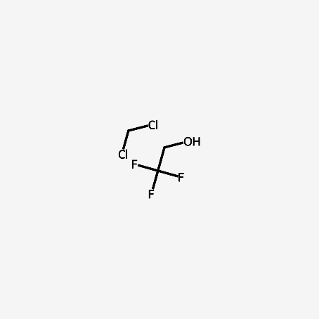 ClCCl.OCC(F)(F)F